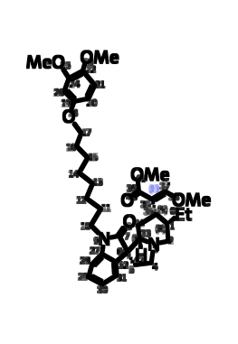 CC[C@H]1CN2CC[C@]3(C(=O)N(CCCCCCCCOc4ccc(OC)c(OC)c4)c4ccccc43)[C@@H]2C[C@@H]1/C(=C\OC)C(=O)OC